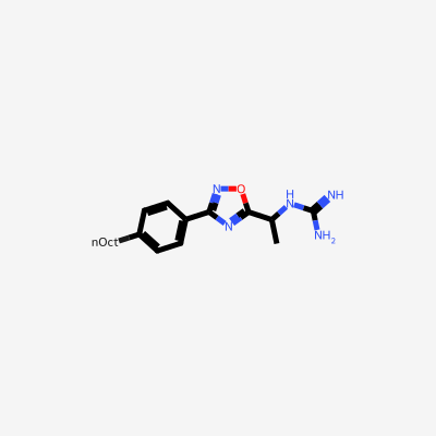 CCCCCCCCc1ccc(-c2noc(C(C)NC(=N)N)n2)cc1